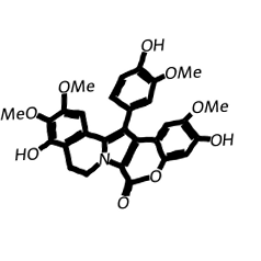 COc1cc(-c2c3n(c4c(=O)oc5cc(O)c(OC)cc5c24)CCc2c-3cc(OC)c(OC)c2O)ccc1O